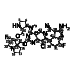 COC[C@H]1NCC[C@H]1N(C)c1nc(OC[C@@]23CCCN2C[C@H](F)C3)nc2c(Cl)c(-c3ccc(F)c4sc(N)c(C#N)c34)ncc12